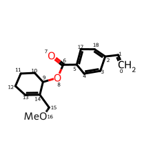 C=Cc1ccc(C(=O)OC2CCCC=C2COC)cc1